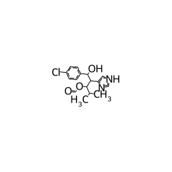 CC(C)C(OC=O)C(c1c[nH]cn1)C(O)c1ccc(Cl)cc1